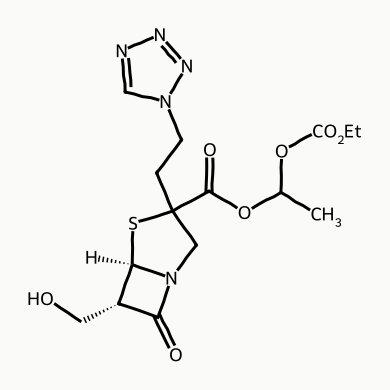 CCOC(=O)OC(C)OC(=O)C1(CCn2cnnn2)CN2C(=O)[C@H](CO)[C@H]2S1